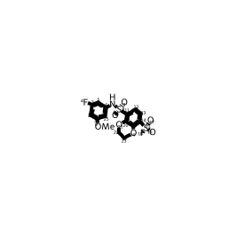 COc1cc(F)cc(NS(=O)(=O)c2ccc(S(=O)(=O)F)c3c2OCCO3)c1